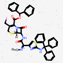 CO/N=C(\C(=O)NC1C(=O)N2C(C(=O)OC(c3ccccc3)c3ccccc3)=C(CI)CS[C@@H]12)c1csc(NC(c2ccccc2)(c2ccccc2)c2ccccc2)n1